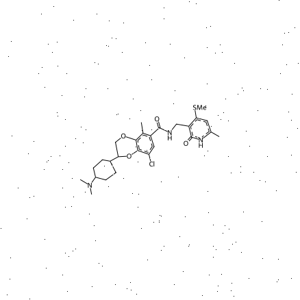 CSc1cc(C)[nH]c(=O)c1CNC(=O)c1cc(Cl)c2c(c1C)OCC(C1CCC(N(C)C)CC1)O2